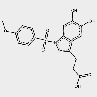 COc1ccc(S(=O)(=O)n2cc(CCC(=O)O)c3cc(O)c(O)cc32)cc1